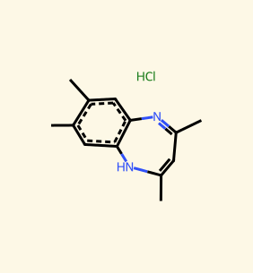 CC1=CC(C)=Nc2cc(C)c(C)cc2N1.Cl